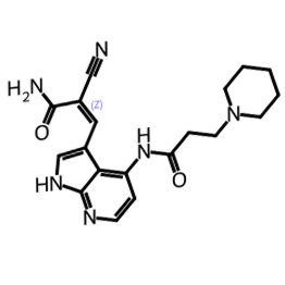 N#C/C(=C/c1c[nH]c2nccc(NC(=O)CCN3CCCCC3)c12)C(N)=O